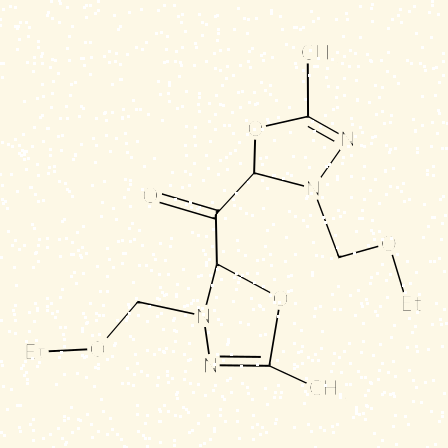 CCOCN1N=C(C)OC1C(=O)C1OC(C)=NN1COCC